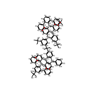 CC(C)(C)c1cc(N2c3cc(C(C)(C)C)ccc3B3c4ccc(C(C)(C)C)cc4N(c4c(-c5ccccc5)cccc4-c4ccccc4)c4cccc2c43)cc(C(C)(C)c2ccc3c(c2)B2c4ccccc4N(c4c(-c5ccccc5)cc(C(C)(C)C)cc4-c4ccccc4)c4cccc(c42)N3c2ccccc2)c1